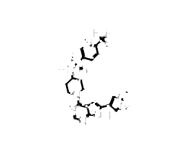 Cn1cc(-c2cc3c(N4CCC(NS(=O)(=O)c5ccc(C(F)(F)F)nc5)CC4)ncnc3[nH]2)cn1